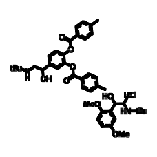 COc1ccc(OC)c(C(O)C(C)NC(C)(C)C)c1.Cc1ccc(C(=O)Oc2ccc(C(O)CNC(C)(C)C)cc2OC(=O)c2ccc(C)cc2)cc1.Cl